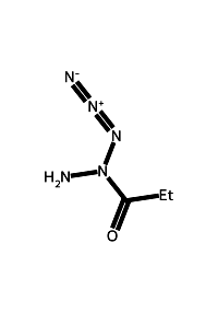 CCC(=O)N(N)N=[N+]=[N-]